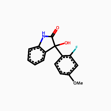 COc1ccc(C2(O)C(=O)Nc3ccccc32)c(F)c1